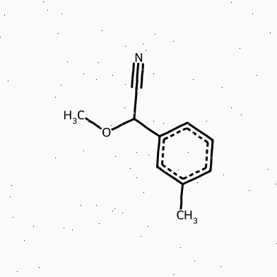 COC(C#N)c1cccc(C)c1